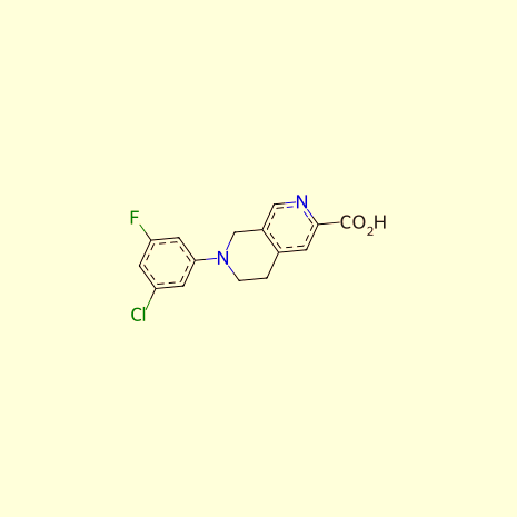 O=C(O)c1cc2c(cn1)CN(c1cc(F)cc(Cl)c1)CC2